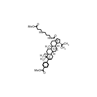 C=C(C)[C@@H]1CC[C@]2(C(=O)NCCCNCCC(=O)OC)CC[C@]3(C)[C@H](CC[C@@H]4[C@@]5(C)CC=C(c6ccc(C(=O)OC)cc6)C(C)(C)[C@@H]5CC[C@]43C)[C@@H]12